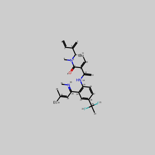 C=CC(=C)CN(C)C(=O)/C(=C\C(C)(C)C)C(=C)Nc1ccc(C(C)(F)F)cc1C(/C=C(\C)CC)=N/C